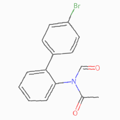 CC(=O)N(C=O)c1ccccc1-c1ccc(Br)cc1